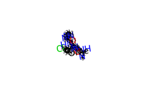 C=NCC(C)(C)NC(=O)Cn1cc(NC(=O)c2cnn3cccnc23)c(-c2cc(Cl)ccc2OC)n1